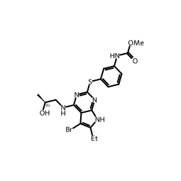 CCc1[nH]c2nc(Sc3cccc(NC(=O)OC)c3)nc(NC[C@H](C)O)c2c1Br